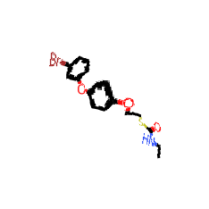 CCNC(=O)SCCOc1ccc(Oc2cccc(Br)c2)cc1